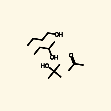 CC(C)(C)O.CC(C)=O.CCC(C)O.CCCCO